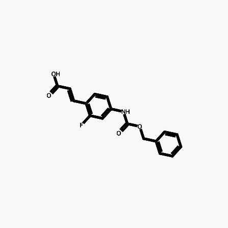 O=C(O)C=Cc1ccc(NC(=O)OCc2ccccc2)cc1F